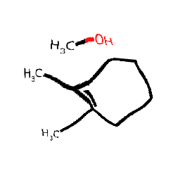 CC1=C(C)CCCC1.CO